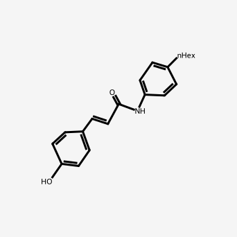 CCCCCCc1ccc(NC(=O)/C=C/c2ccc(O)cc2)cc1